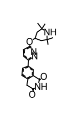 CC1(C)CC(Oc2ccc(-c3ccc4c(c3)C(=O)NC(=O)C4)nn2)CC(C)(C)N1